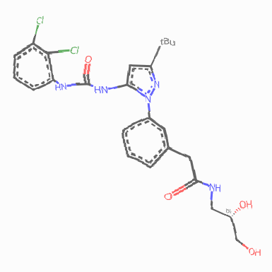 CC(C)(C)c1cc(NC(=O)Nc2cccc(Cl)c2Cl)n(-c2cccc(CC(=O)NC[C@H](O)CO)c2)n1